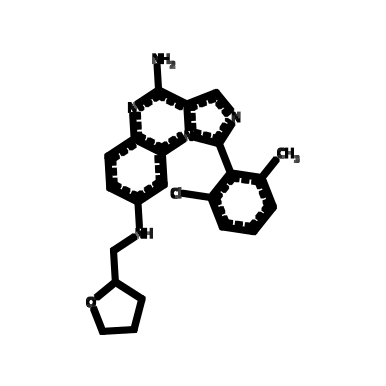 Cc1cccc(Cl)c1-c1ncc2c(N)nc3ccc(NCC4CCCO4)cc3n12